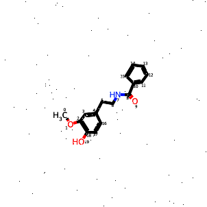 COc1cc(CCNC(=O)c2ccccc2)ccc1O